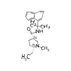 CC[C@@H]1CC[C@H](C(=O)NC(C)(C)c2cccc3ccccc23)CN1C